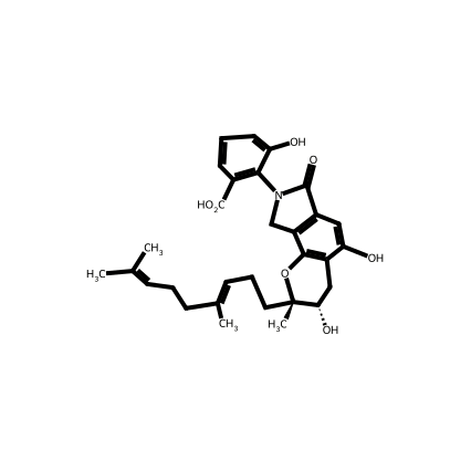 CC(C)=CCC/C(C)=C/CC[C@]1(C)Oc2c(c(O)cc3c2CN(c2c(O)cccc2C(=O)O)C3=O)C[C@@H]1O